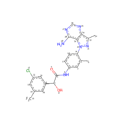 Cc1cc(NC(=O)C(O)c2cc(Cl)cc(C(F)(F)F)c2)ccc1-n1nc(C)c2ncnc(N)c21